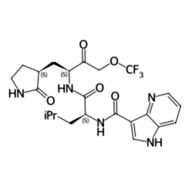 CC(C)C[C@H](NC(=O)c1c[nH]c2cccnc12)C(=O)N[C@@H](C[C@@H]1CCNC1=O)C(=O)COC(F)(F)F